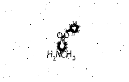 CC1(N)CCN(C(=O)OCc2ccccc2)CC1